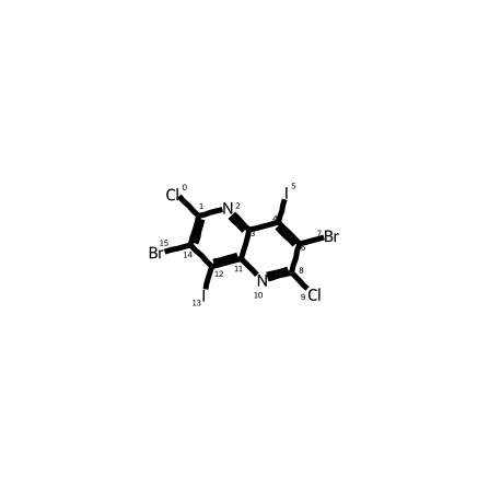 Clc1nc2c(I)c(Br)c(Cl)nc2c(I)c1Br